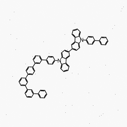 c1ccc(-c2ccc(-n3c4ccccc4c4cc(-c5ccc6c(c5)c5ccccc5n6-c5ccc(-c6cccc(-c7ccc(-c8cccc(-c9cccc(-c%10ccccc%10)c9)c8)cc7)c6)cc5)ccc43)cc2)cc1